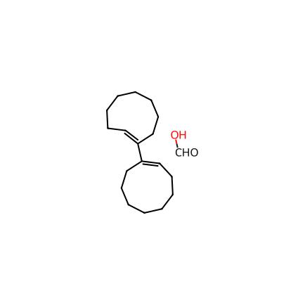 C1=C(\C2=C\CCCCCCC2)CCCCCCC/1.O=CO